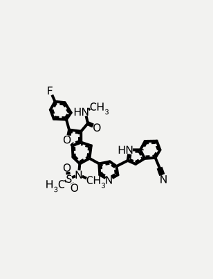 CNC(=O)c1c(-c2ccc(F)cc2)oc2cc(N(C)S(C)(=O)=O)c(-c3cncc(-c4cc5c(C#N)cccc5[nH]4)c3)cc12